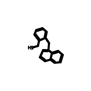 SCc1ccccc1Cc1cccc2ccccc12